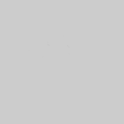 C[C@H](NC(=O)OCC1c2ccccc2-c2ccccc21)C(=O)N[C@@H](CC(=O)O)C(=O)O